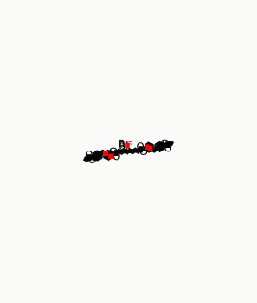 CCC(=O)Oc1ccc(C[N+]23CCC(CC2)C(OC(=O)CCCCCCCCC(=O)OC2C[N+]4(Cc5ccc(OC(=O)CC)cc5)CCC2CC4)C3)cc1.[Br-].[Br-]